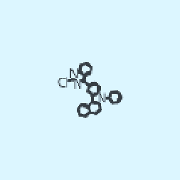 Clc1nc(-c2ccc3c(c2)c2c4ccccc4ccc2n3-c2ccccc2)c2ccccc2n1